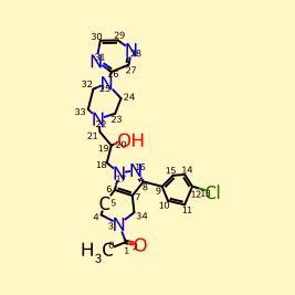 CC(=O)N1CCc2c(c(-c3ccc(Cl)cc3)nn2CC(O)CN2CCN(c3cnccn3)CC2)C1